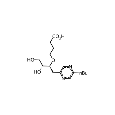 CCCCc1cnc(C[C@H](OCCCC(=O)O)[C@H](O)CO)cn1